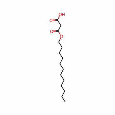 CCCCCCCCCCCCOC(=O)CC(=O)O